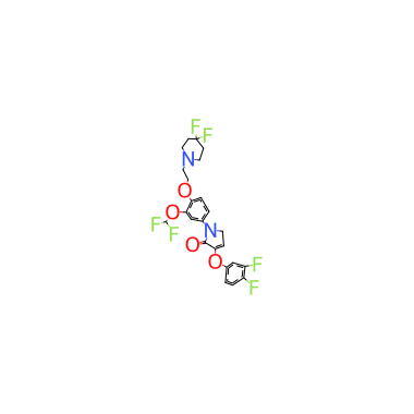 O=C1C(Oc2ccc(F)c(F)c2)=CCN1c1ccc(OCCN2CCC(F)(F)CC2)c(OC(F)F)c1